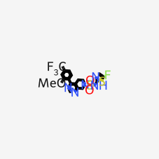 COc1cc(C(F)(F)F)ccc1-c1ncnc2c1CCN(S(=O)(=O)Nc1ncc(F)s1)C2